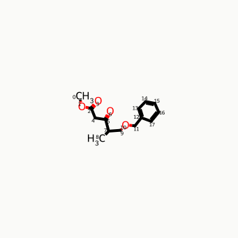 COC(=O)CC(=O)C(C)COCc1ccccc1